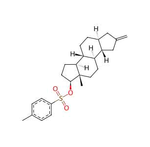 C=C1C[C@@H]2CC[C@@H]3[C@H](CC[C@]4(C)[C@@H](OS(=O)(=O)c5ccc(C)cc5)CC[C@@H]34)[C@H]2C1